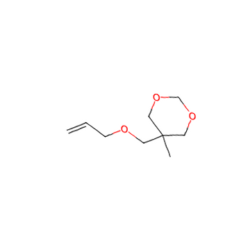 C=CCOCC1(C)COCOC1